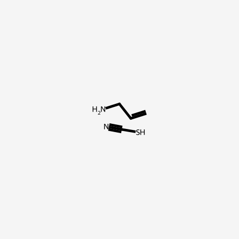 C=CCN.N#CS